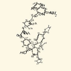 C[Si]1(C)C2=CC(=[N+]3CCCC3)C=CC2=C(c2cc(C(=O)NCc3ccc(COc4nc(N)nc5[nH]cnc45)cc3)ccc2C(=O)O)c2ccc(N3CCCC3)cc21